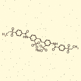 CCS(=O)(=O)c1ccc(C(=O)Nc2ccc(C=Cc3ccc(NC(=O)c4ccc(S(=O)(=O)CC)cc4)cc3S(=O)(=O)O)c(S(=O)(=O)O)c2)cc1